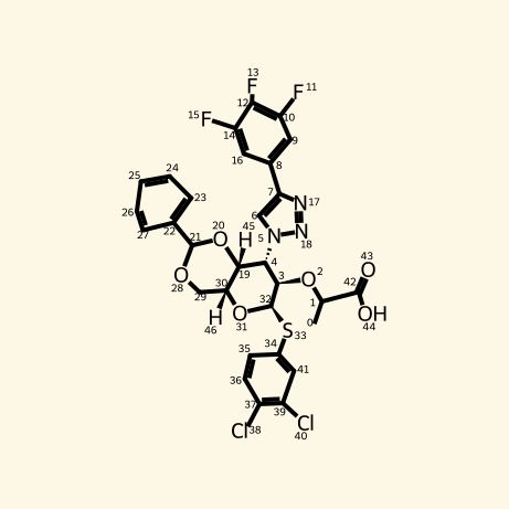 CC(O[C@@H]1[C@@H](n2cc(-c3cc(F)c(F)c(F)c3)nn2)[C@H]2OC(c3ccccc3)OC[C@H]2O[C@@H]1Sc1ccc(Cl)c(Cl)c1)C(=O)O